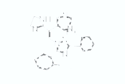 FC(F)(F)c1ccccc1-c1nc(-c2ccccc2C(F)(F)F)n(/C=C(/C2=NCCN2)c2cncnc2)n1